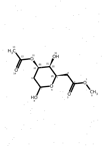 COC(=O)C[C@H]1OC(O)C[C@@H](OC(C)=O)[C@H]1O